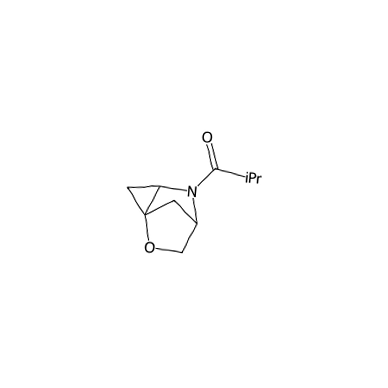 CC(C)C(=O)N1C2COC3(C2)CC13